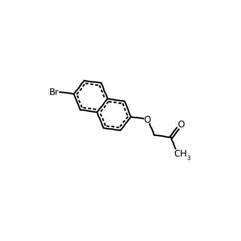 CC(=O)COc1ccc2cc(Br)ccc2c1